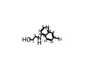 OCCNc1ccnc2cc(I)ccc12